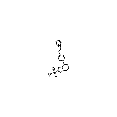 O=S(=O)(C1CC1)N1CC2CCC=C(c3ccc(CCn4cccc4)cc3)C2C1